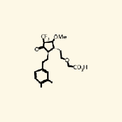 COC1C(C(F)(F)F)C(=O)[C@H](CCc2ccc(C)c(C)c2)[C@H]1CCOCC(=O)O